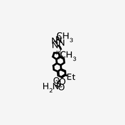 CCc1cc2c(cc1OS(N)(=O)=O)CCC1C2CC[C@@]2(C)C1CC[C@@H]2Cc1nnn(C)n1